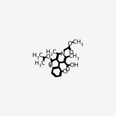 COC(=O)CN1C(C)=C(C(=O)O)C(c2c(F)cccc2Cl)C(C(=O)OC(C)C)=C1C